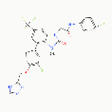 Cn1c(=O)n(CC(=O)Nc2ccc(F)cc2)c2cc(C(F)(F)F)cc(-c3ccc(OCc4nnc[nH]4)c(F)c3)c21